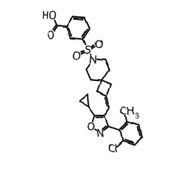 Cc1cccc(Cl)c1-c1noc(C2CC2)c1C=C1CC2(CCN(S(=O)(=O)c3cccc(C(=O)O)c3)CC2)C1